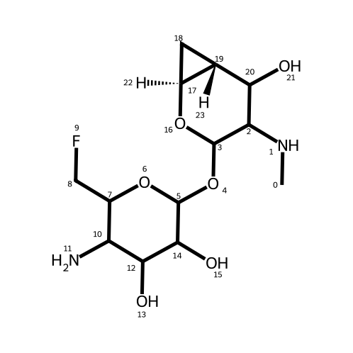 CNC1C(OC2OC(CF)C(N)C(O)C2O)O[C@H]2C[C@@H]2C1O